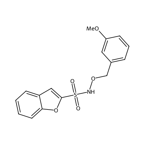 COc1cccc(CONS(=O)(=O)c2cc3ccccc3o2)c1